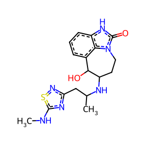 CNc1nc(CC(C)NC2CCn3c(=O)[nH]c4cccc(c43)C2O)ns1